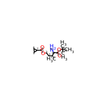 CC(CCOC(=O)C1CC1)C(N)C(=O)OC(C)(C)C